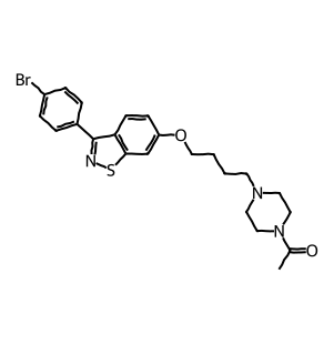 CC(=O)N1CCN(CCCCOc2ccc3c(-c4ccc(Br)cc4)nsc3c2)CC1